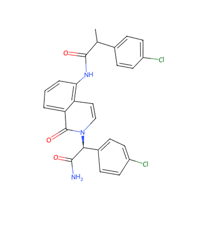 CC(C(=O)Nc1cccc2c(=O)n([C@H](C(N)=O)c3ccc(Cl)cc3)ccc12)c1ccc(Cl)cc1